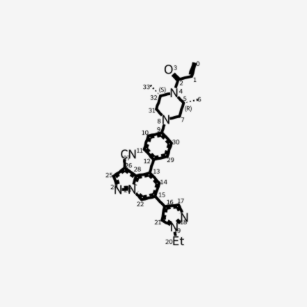 C=CC(=O)N1[C@H](C)CN(c2ccc(-c3cc(-c4cnn(CC)c4)cn4ncc(C#N)c34)cc2)C[C@@H]1C